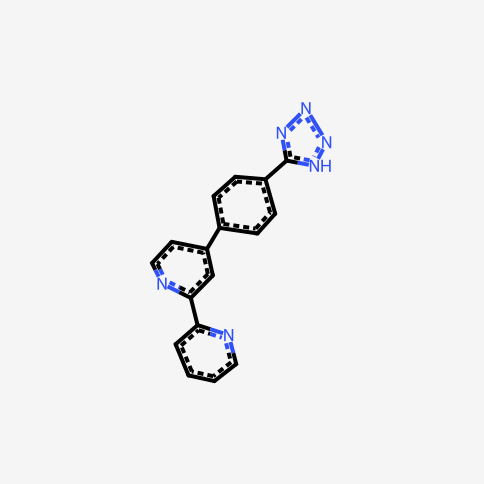 c1ccc(-c2cc(-c3ccc(-c4nnn[nH]4)cc3)ccn2)nc1